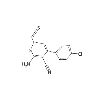 N#CC1=C(N)SC(C=S)C=C1c1ccc(Cl)cc1